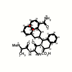 CNC(C)C(=O)NC(C(=O)N1C(C(=O)O)Cc2ccccc2C1C(Cc1ccccc1)Cc1ccccc1C(N)=O)C(C)C